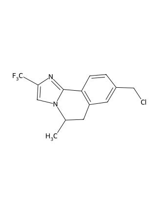 CC1Cc2cc(CCl)ccc2-c2nc(C(F)(F)F)cn21